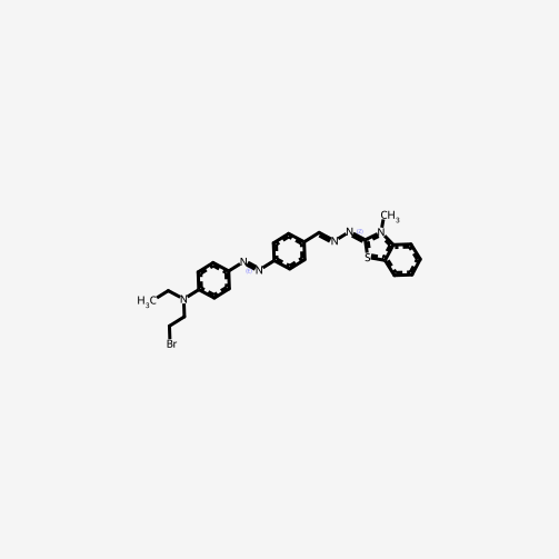 CCN(CCBr)c1ccc(/N=N/c2ccc(C=N/N=c3\sc4ccccc4n3C)cc2)cc1